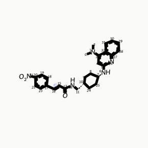 CN(C)c1cc(N[C@H]2CC[C@@H](CNC(=O)/C=C/c3ccc([N+](=O)[O-])cc3)CC2)nc2ccccc12